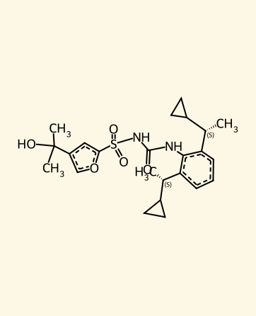 C[C@H](c1cccc([C@@H](C)C2CC2)c1NC(=O)NS(=O)(=O)c1cc(C(C)(C)O)co1)C1CC1